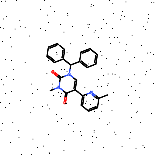 Cc1cccc(-c2cn(C(c3ccccc3)c3ccccc3)c(=O)n(C)c2=O)n1